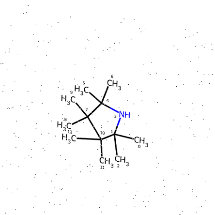 CC1(C)NC(C)(C)C(C)(C)C1(C)C